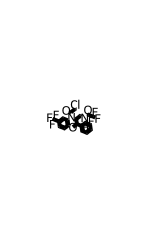 O=C(CCl)N1c2cc(C(F)(F)F)ccc2OC(c2ccccc2)C1CNC(=O)C(F)(F)F